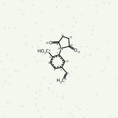 C=Cc1ccc(C(=O)O)c(N2C(=O)CCC2=O)c1